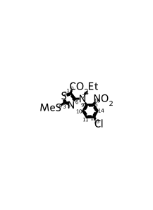 CCOC(=O)c1sc(SC)nc1N(C)c1ccc(Cl)cc1[N+](=O)[O-]